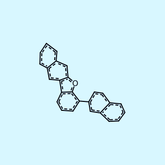 c1ccc2cc(-c3cccc4c3oc3cc5ccccc5cc34)ccc2c1